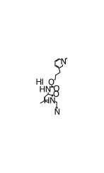 CC(C)CC(NC(=O)OCCCC1=CC=CN(C)C1)C(=O)NCC#N.I